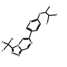 CC(Oc1ccc(-c2cn3c(C(F)(F)Br)nnc3cn2)cn1)C(F)F